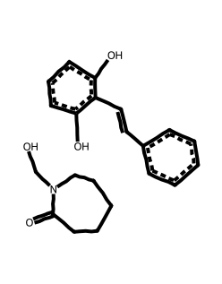 O=C1CCCCCN1CO.Oc1cccc(O)c1C=Cc1ccccc1